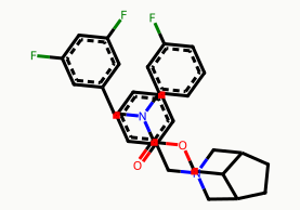 O=C(OCC1C2CCC1CN(Cc1ccccc1)C2)N(Cc1cc(F)cc(F)c1)c1cccc(F)c1